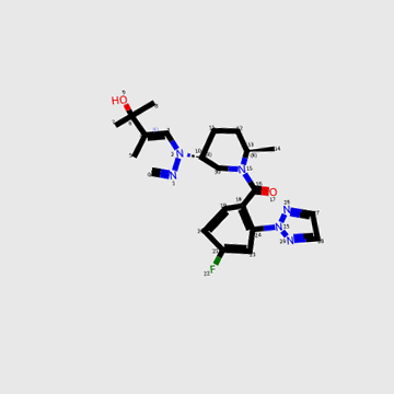 C=NN(/C=C(\C)C(C)(C)O)[C@@H]1CC[C@@H](C)N(C(=O)c2ccc(F)cc2-n2nccn2)C1